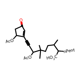 CCCCCC(C(=O)O)C(C)CCC(C)(C)C(C#CC1=CC(=O)CC1OC(C)=O)OC(C)=O